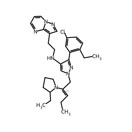 CC/C=C(/Cn1cc(NCCc2cnn3cccnc23)c(-c2cc(Cl)ccc2CC)n1)N1CCCC1CC